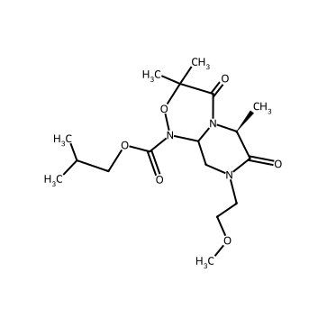 COCCN1CC2N(C(=O)OCC(C)C)OC(C)(C)C(=O)N2[C@@H](C)C1=O